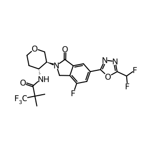 CC(C)(C(=O)N[C@@H]1CCOC[C@H]1N1Cc2c(F)cc(-c3nnc(C(F)F)o3)cc2C1=O)C(F)(F)F